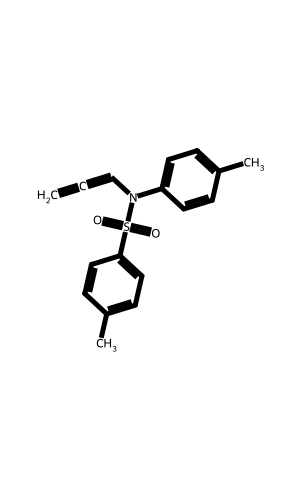 C=C=CN(c1ccc(C)cc1)S(=O)(=O)c1ccc(C)cc1